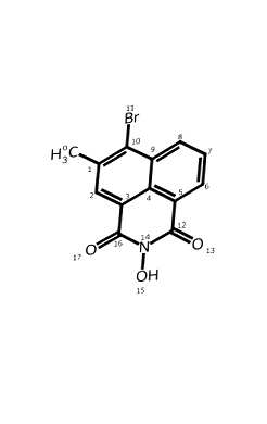 Cc1cc2c3c(cccc3c1Br)C(=O)N(O)C2=O